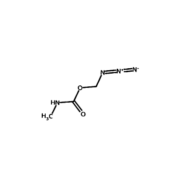 CNC(=O)OCN=[N+]=[N-]